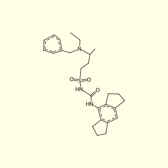 CCN(Cc1ccccc1)C(C)CCS(=O)(=O)NC(=O)Nc1c2c(cc3c1CCC3)CCC2